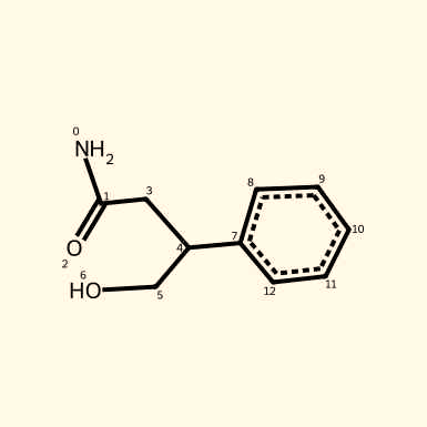 NC(=O)CC(CO)c1ccccc1